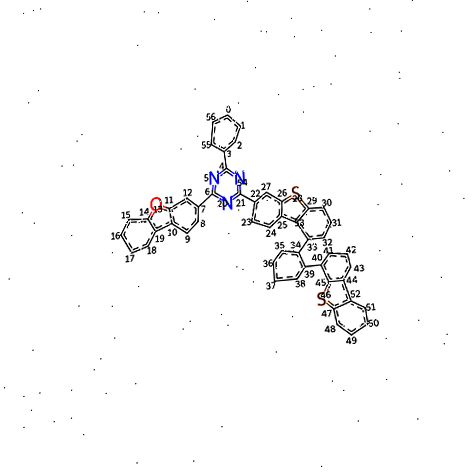 c1ccc(-c2nc(-c3ccc4c(c3)oc3ccccc34)nc(-c3ccc4c(c3)sc3cccc(-c5ccccc5-c5cccc6c5sc5ccccc56)c34)n2)cc1